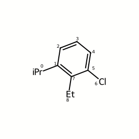 [CH2]C(C)c1cccc(Cl)c1CC